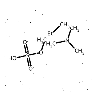 CCC.CN(C)C.COS(=O)(=O)O